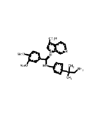 COc1ccc(C(=O)Nc2ccc(C(C)(C)CN)cc2)cc1OC.O=C(O)c1c[nH]c2cnccc12